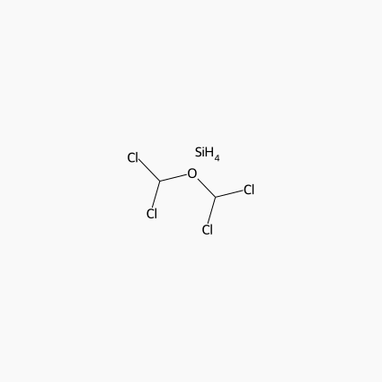 ClC(Cl)OC(Cl)Cl.[SiH4]